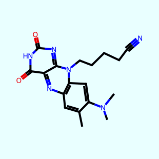 Cc1cc2nc3c(=O)[nH]c(=O)nc-3n(CCCCC#N)c2cc1N(C)C